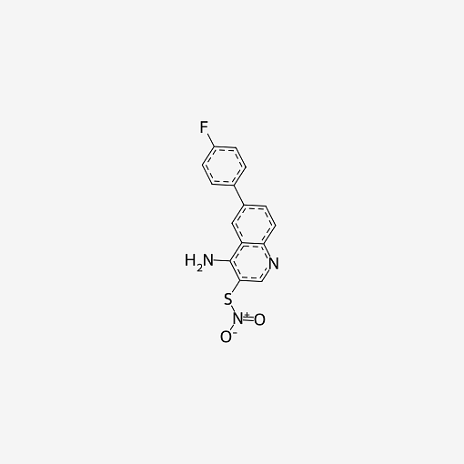 Nc1c(S[N+](=O)[O-])cnc2ccc(-c3ccc(F)cc3)cc12